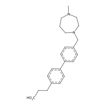 CN1CCCN(Cc2ccc(-c3ccc(CCC(=O)O)cc3)cc2)CC1